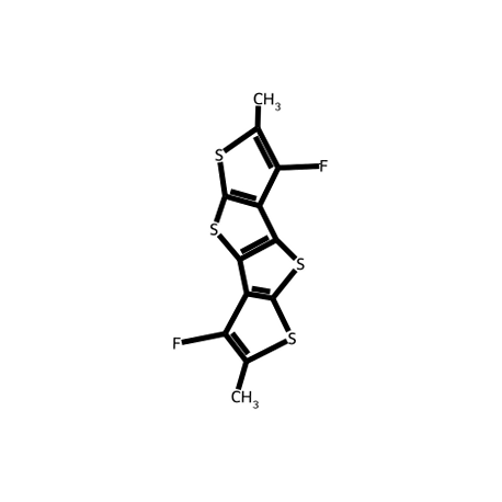 Cc1sc2sc3c(sc4sc(C)c(F)c43)c2c1F